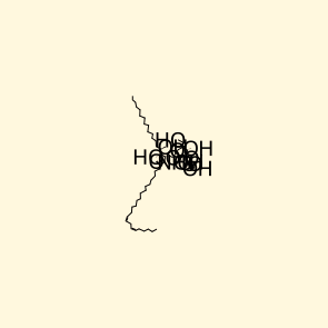 CCCCC/C=C\C/C=C\CCCCCCCCCCCCCC(=O)N[C@@H](CO[C@@H]1O[C@H](CO)[C@H](O)[C@H](OS(=O)(=O)O)[C@H]1O)[C@H](O)[C@H](O)CCCCCCCCCCCCCC